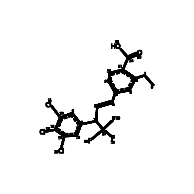 CCc1cc(C=CC(c2cc(Cl)c(Cl)c(Cl)c2)C(F)(F)F)ccc1C(=O)O